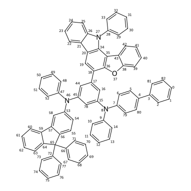 c1ccc(-c2ccc(N(c3ccccc3)c3cc(-c4cc5c6ccccc6n(-c6ccccc6)c5c5c4oc4ccccc45)cc(N(c4ccccc4)c4ccc5c(c4)-c4ccccc4C5(c4ccccc4)c4ccccc4)c3)cc2)cc1